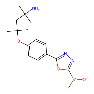 C[S+]([O-])c1nnc(-c2ccc(OC(C)(C)CC(C)(C)N)cc2)o1